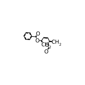 C=C(/C=C\C(=C)OC(=O)c1ccccc1)OC=O